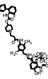 Cc1cc(NC(=O)CCN2CCC(OC(=O)Nc3c(F)cccc3-c3ccccc3)CC2)c(C)cc1CNCC(O[Si](C)(C)C(C)(C)C)c1ccc(O)c(NC=O)c1